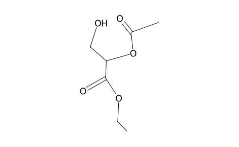 CCOC(=O)C(CO)OC(C)=O